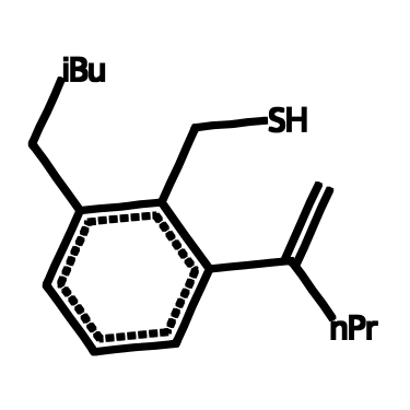 C=C(CCC)c1cccc(CC(C)CC)c1CS